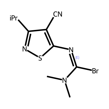 CC(C)c1nsc(/N=C(/Br)N(C)C)c1C#N